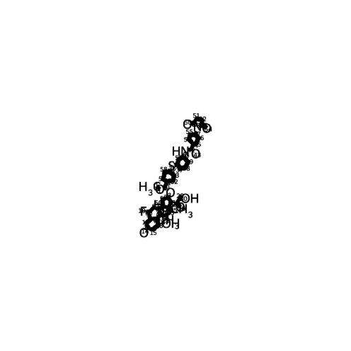 CO[C@@H](O[C@@H]1CC2[C@@H]3C[C@H](F)C4=CC(=O)C=C[C@]4(C)[C@@]3(F)[C@@H](O)C[C@]2(C)[C@H]1C(=O)CO)c1ccc(Sc2cccc(NC(=O)c3ccc(N4C(=O)C=CC4=O)cc3)c2)cc1